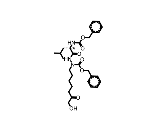 CC(C)C[C@H](NC(=O)OCc1ccccc1)C(=O)NN(CCCCCC(=O)CO)C(=O)OCc1ccccc1